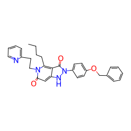 CCCCc1c2c(=O)n(-c3ccc(OCc4ccccc4)cc3)[nH]c2cc(=O)n1CCc1ccccn1